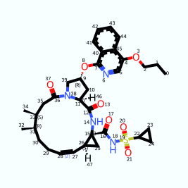 CCCOc1cnc(O[C@@H]2C[C@H]3C(=O)N[C@]4(C(=O)NS(=O)(=O)C5CC5)C[C@H]4/C=C\CC[C@@H](C)[C@@H](C)CC(=O)N3C2)c2ccccc12